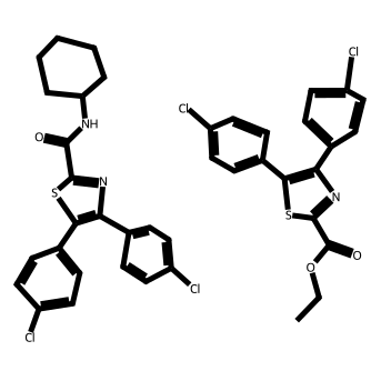 CCOC(=O)c1nc(-c2ccc(Cl)cc2)c(-c2ccc(Cl)cc2)s1.O=C(NC1CCCCC1)c1nc(-c2ccc(Cl)cc2)c(-c2ccc(Cl)cc2)s1